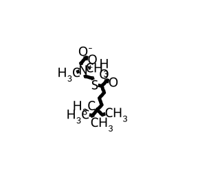 CCC(C)(CCCC(SCC[N+](C)(C)CC(=O)[O-])C(=O)O)C(C)C